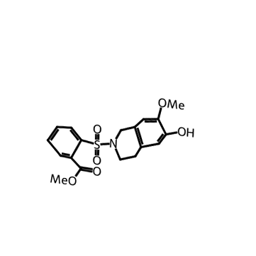 COC(=O)c1ccccc1S(=O)(=O)N1CCc2cc(O)c(OC)cc2C1